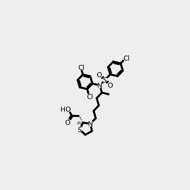 CC(CCCCN1CCS[C@@H]1CC(=O)O)N(c1cc(Cl)ccc1Cl)S(=O)(=O)c1ccc(Cl)cc1